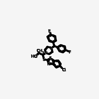 CC(O)C(Sc1nc2cc(Cl)ccc2s1)N1CCN(C(c2ccc(F)cc2)c2ccc(F)cc2)CC1